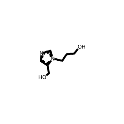 OCCCn1cncc1CO